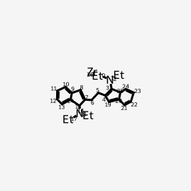 CCN(CC)C1=C(CCC2=Cc3ccccc3C2N(CC)CC)C=C2C=CC=CC21.[Zr]